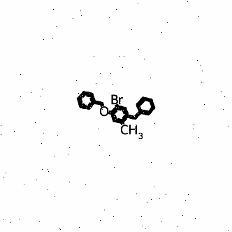 Cc1cc(OCc2ccccc2)c(Br)cc1CC1=CCCC=C1